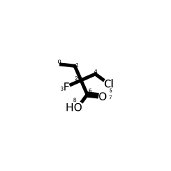 CCC(F)(CCl)C(=O)O